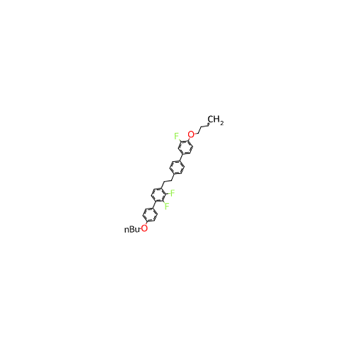 C=CCCOc1ccc(-c2ccc(CCc3ccc(-c4ccc(OCCCC)cc4)c(F)c3F)cc2)cc1F